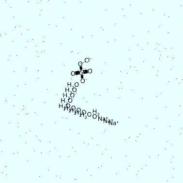 O.O.O.O.O.O.O.O.O.O.O=S(=O)([O-])[O-].[Cl-].[Na+].[Na+].[Na+]